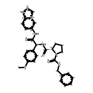 COc1ccc([C@H](NC(=O)[C@@H]2CCCN2C(=O)OCc2ccccc2)C(=O)Nc2ccc3nncn3c2)cc1